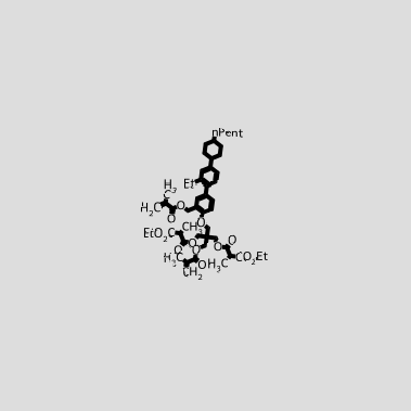 C=C(C)C(=O)OCc1cc(-c2ccc(C3CCC(CCCCC)CC3)cc2CC)ccc1OCC(COC(=O)C(=C)C)(COC(=O)C(C)C(=O)OCC)COC(=O)C(C)C(=O)OCC